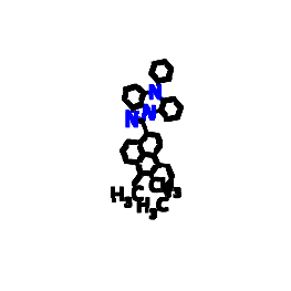 C/C=C/C=C\c1c(C)/c(=C\C)c2cccc3c(-c4nc5cccc6c5n4-c4ccccc4N6c4ccccc4)ccc1c32